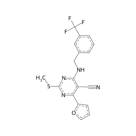 CSc1nc(NCc2cccc(C(F)(F)F)c2)c(C#N)c(-c2ccco2)n1